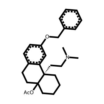 CC(=O)OC12CCCC[C@]1(CCN(C)C)c1cc(OCc3ccccc3)ccc1CC2